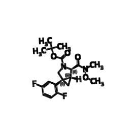 CON(C)C(=O)[C@H]1[C@@H]2C[C@]2(c2cc(F)ccc2F)CN1C(=O)OC(C)(C)C